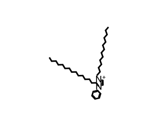 CCCCCCCCCCCCCCc1n(-c2ccccc2)cc[n+]1CCCCCCCCCCCCCC